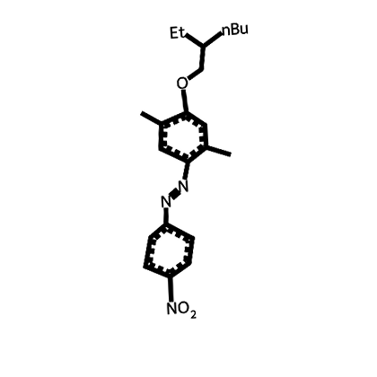 CCCCC(CC)COc1cc(C)c(N=Nc2ccc([N+](=O)[O-])cc2)cc1C